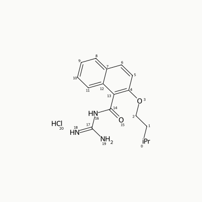 CC(C)CCOc1ccc2ccccc2c1C(=O)NC(=N)N.Cl